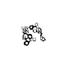 O=C(c1ccc(Nc2ncc3c(n2)-c2ccc(Cl)cc2C(c2ccccc2F)=NC3)cc1Cl)N1CCN(CCN2CCCC2)CC1